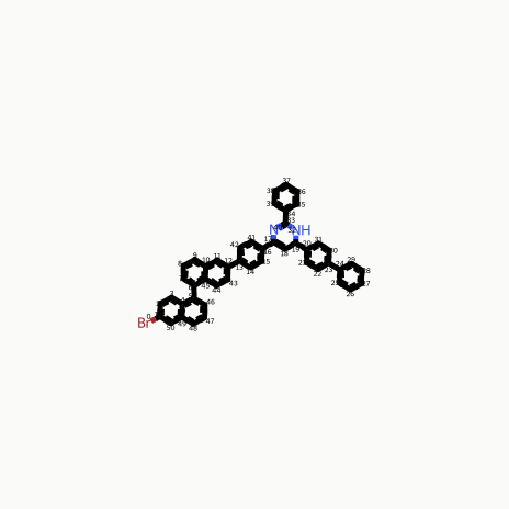 Brc1ccc2c(-c3cccc4cc(-c5ccc(C6=CC(c7ccc(-c8ccccc8)cc7)NC(c7ccccc7)=N6)cc5)ccc34)cccc2c1